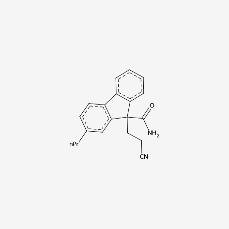 CCCc1ccc2c(c1)C(CCC#N)(C(N)=O)c1ccccc1-2